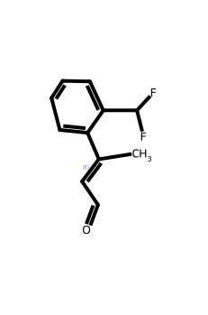 C/C(=C\C=O)c1ccccc1C(F)F